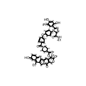 CCNC(=O)c1nnc(-c2cc(C(C)C)c(O)cc2O)n1-c1ccc(Oc2ccc(C(=O)N3CCC(C(=O)OC4(CC)C(=O)OCc5c4cc4n(c5=O)Cc5c-4nc4ccc(O)cc4c5CC)CC3)cc2)cc1